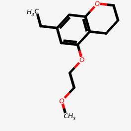 CCc1cc2c(c(OCCOC)c1)CCCO2